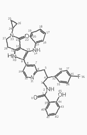 O=C(NCC(Cc1cc(-c2[nH]c3c(c2Nc2ccccc2)C(=O)N(C2CC2)CC3)ccn1)c1ccc(F)cc1)c1ccccc1O